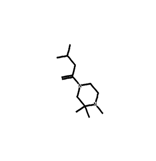 C=C(CC(C)C)N1CCN(C)C(C)(C)C1